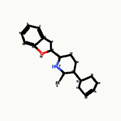 CCC1NC(C2Cc3ccccc3O2)CCC1C1CC=CCC1